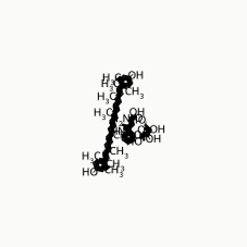 CC1=C(/C=C/C(C)=C/C=C/C(C)=C/C=C/C=C(C)/C=C/C=C(C)/C=C/C2=C(C)C[C@@H](O)CC2(C)C)C(C)(C)C[C@H](O)C1.NC(Cc1c[nH]c2ccccc12)C(=O)O.OC[C@H]1O[C@](O)(CO)[C@@H](O)[C@@H]1O